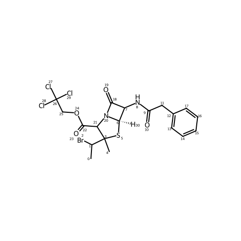 CC(Br)C1(C)S[C@@H]2C(NC(=O)Cc3ccccc3)C(=O)N2C1C(=O)OCC(Cl)(Cl)Cl